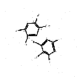 Fc1cc(F)c(F)c(F)c1.Fc1cc(F)c(F)cc1F